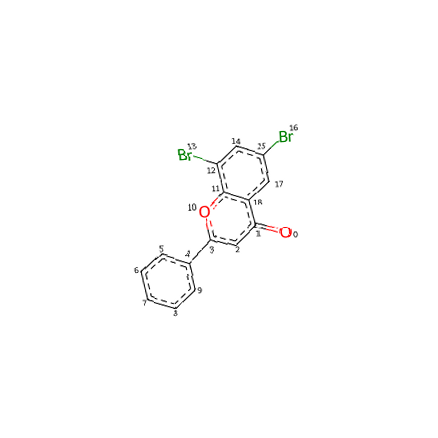 O=c1cc(-c2ccccc2)oc2c(Br)cc(Br)cc12